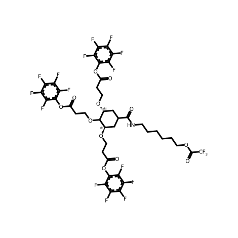 O=C(CCOC1[C@H](OCCC(=O)Oc2c(F)c(F)c(F)c(F)c2F)CC(C(=O)NCCCCCCOC(=O)C(F)(F)F)C[C@H]1OCCC(=O)Oc1c(F)c(F)c(F)c(F)c1F)Oc1c(F)c(F)c(F)c(F)c1F